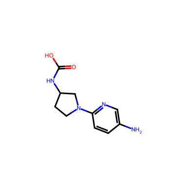 Nc1ccc(N2CCC(NC(=O)O)C2)nc1